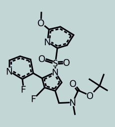 COc1cccc(S(=O)(=O)n2cc(CN(C)C(=O)OC(C)(C)C)c(F)c2-c2cccnc2F)n1